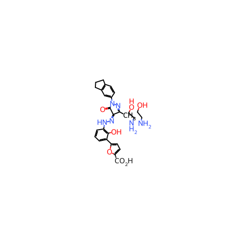 CC1=NN(c2ccc3c(c2)CCC3)C(=O)C1=NNc1cccc(-c2ccc(C(=O)O)o2)c1O.NCCO.NCCO